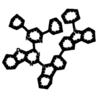 c1ccc(-c2cc(-c3ccccc3)nc(-c3nc(-n4c5ccccc5c5ccc(-c6ccc7c(c6)c6ccccc6n7-c6ccccc6)cc54)nc4c3oc3ccccc34)n2)cc1